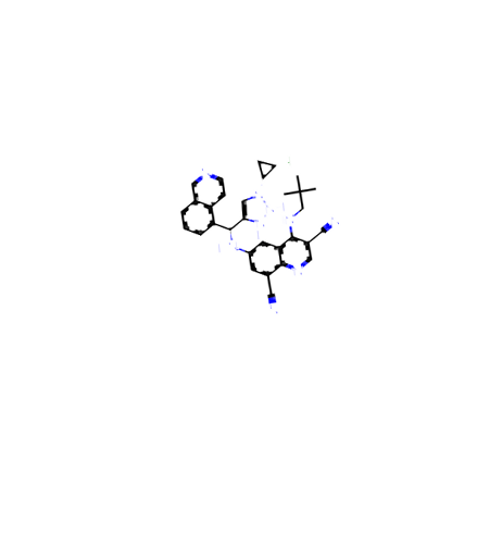 CC(C)(C)CNc1c(C#N)cnc2c(C#N)cc(N[C@H](C3=CN([C@@H]4C[C@@H]4F)NN3)c3cccc4cnccc34)cc12